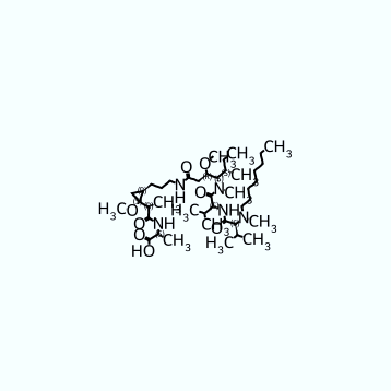 CCCCCCCCN(C)[C@H](C(=O)N[C@H](C(=O)N(C)[C@@H]([C@@H](C)CC)[C@@H](CC(=O)NCCC[C@@H]1C[C@@]1(OC)[C@@H](C)C(=O)N[C@@H](C)C(=O)O)OC)C(C)C)C(C)C